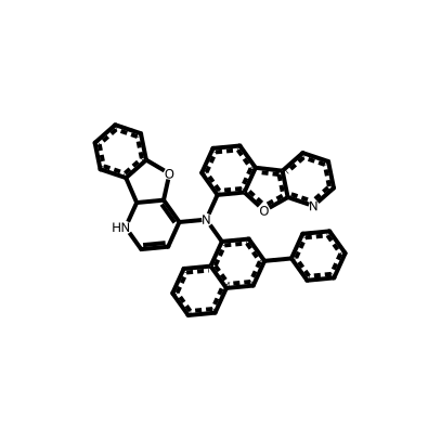 C1=CC(N(c2cc(-c3ccccc3)cc3ccccc23)c2cccc3c2oc2ncccc23)=C2Oc3ccccc3C2N1